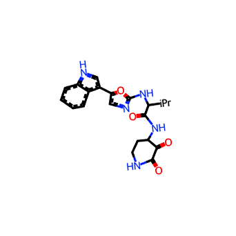 CC(C)C(Nc1ncc(-c2c[nH]c3ccccc23)o1)C(=O)NC1CCNC(=O)C1=O